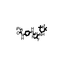 CC(C)OC(=O)Nc1ccc(Nc2ncc(F)c(NC3CC(C)(C)N(C)C(C)(C)C3)n2)cc1